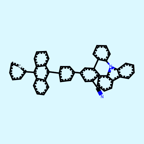 N#Cc1cc(-c2ccc(-c3c4ccccc4c(-c4ccccc4)c4ccccc34)cc2)cc(-c2ccccc2-n2c3ccccc3c3ccccc32)c1